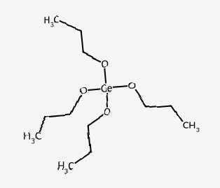 CCC[O][Ge]([O]CCC)([O]CCC)[O]CCC